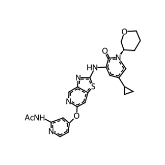 CC(=O)Nc1cc(Oc2cc3sc(Nc4cc(C5CC5)cn([C@@H]5CCCOC5)c4=O)nc3cn2)ccn1